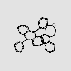 c1ccc(-c2c3ccccc3c(-c3cccc4c3-c3ccc5ccccc5c3CCO4)c3ccccc23)cc1